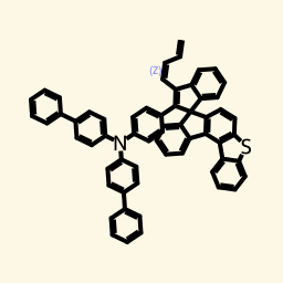 C=C/C=C\C1=C(c2ccc(N(c3ccc(-c4ccccc4)cc3)c3ccc(-c4ccccc4)cc3)cc2)C2(c3ccccc31)c1ccccc1-c1c2ccc2sc3ccccc3c12